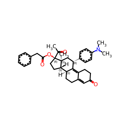 CC(=O)[C@@]1(OC(=O)Cc2ccccc2)CC[C@H]2[C@@H]3CCC4=CC(=O)CCC4=C3[C@@H](c3ccc(N(C)C)cc3)C[C@@]21C